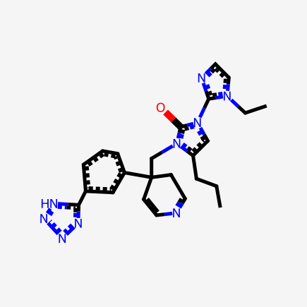 CCCc1cn(-c2nccn2CC)c(=O)n1CC1(c2cccc(-c3nnn[nH]3)c2)C=CN=CC1